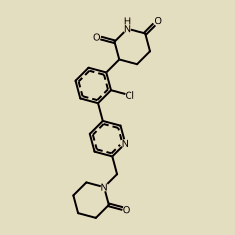 O=C1CCC(c2cccc(-c3ccc(CN4CCCCC4=O)nc3)c2Cl)C(=O)N1